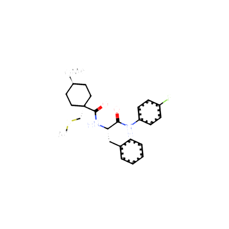 CO[C@H]1CC[C@@](CSC(C)=O)(C(=O)N[C@@H](Cc2ccccc2)C(=O)Nc2ccc(F)cc2)CC1